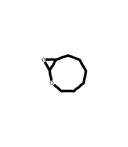 C1CCCC2OC2OCC1